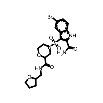 NC(=O)c1[nH]c2ccc(Br)cc2c1S(=O)(=O)N1CCOC(C(=O)NCC2CCCO2)C1